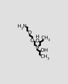 CCC(O)CN(CCOCCOCCN)CC(O)CC